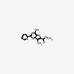 COC(=O)c1sc2c(O)nc(-c3ccccn3)nc2c1C